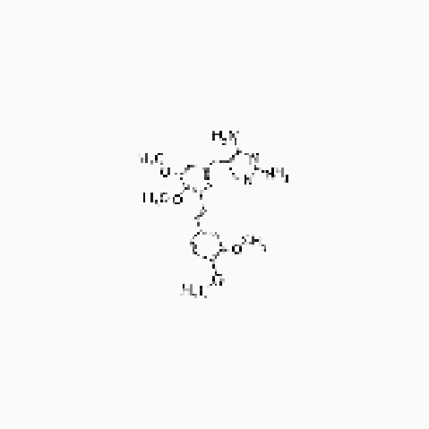 COc1ccc(C=Cc2cc(Cc3cnc(N)nc3N)cc(OC)c2OC)cc1OC